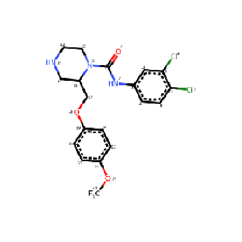 O=C(Nc1ccc(Cl)c(Cl)c1)N1CCNCC1COc1ccc(OC(F)(F)F)cc1